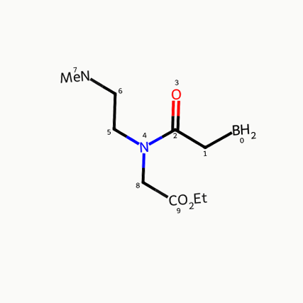 BCC(=O)N(CCNC)CC(=O)OCC